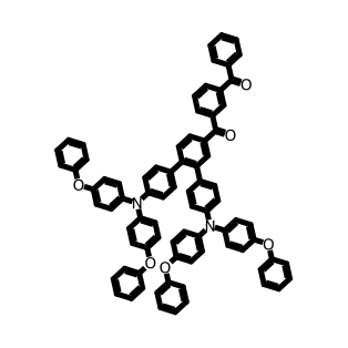 O=C(c1ccccc1)c1cccc(C(=O)c2ccc(-c3ccc(N(c4ccc(Oc5ccccc5)cc4)c4ccc(Oc5ccccc5)cc4)cc3)c(-c3ccc(N(c4ccc(Oc5ccccc5)cc4)c4ccc(Oc5ccccc5)cc4)cc3)c2)c1